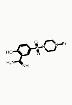 CCN1CCN(S(=O)(=O)c2ccc(O)c(C(=N)N)c2)CC1